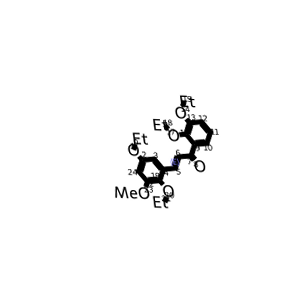 CCOc1cc(/C=C/C(=O)c2cccc(OCC)c2OCC)c(OCC)c(OC)c1